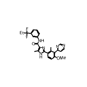 CCC(F)(F)c1cccc(NC(=O)c2nc(-c3ccc(OC)c(-c4ccncn4)c3C)[nH]c2C)c1